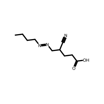 CCCCN=NCC(C#N)CCC(=O)O